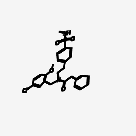 CNS(=O)(=O)c1ccc(CCN(Cc2cc(Cl)ccc2OC)C(=O)Cc2ccccc2)cc1